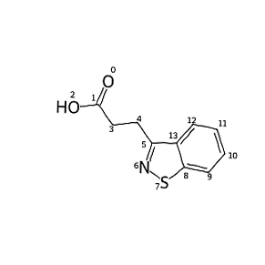 O=C(O)CCc1nsc2ccccc12